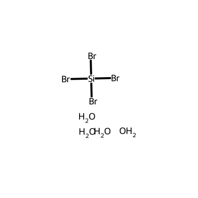 Br[Si](Br)(Br)Br.O.O.O.O